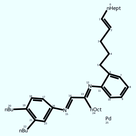 CCCCCCC/C=C/CCCc1ccccc1/N=C(/C=N/c1ccc(CCCC)c(CCCC)c1)CCCCCCCC.[Pd]